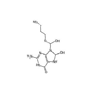 Nc1nc2c(c(=O)[nH]1)NC(O)N2C(O)OCCCO